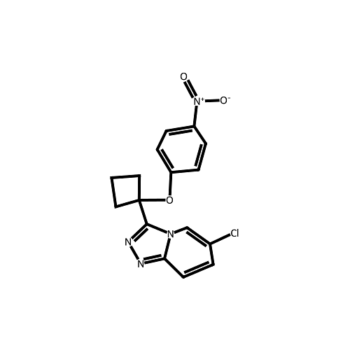 O=[N+]([O-])c1ccc(OC2(c3nnc4ccc(Cl)cn34)CCC2)cc1